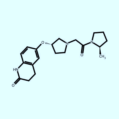 C[C@@H]1CCCN1C(=O)CN1CC[C@H](Oc2ccc3c(c2)CCC(=O)N3)C1